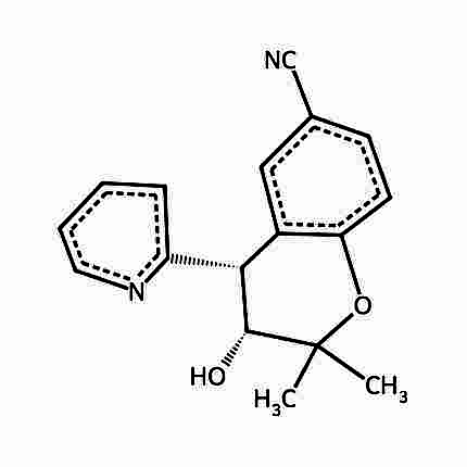 CC1(C)Oc2ccc(C#N)cc2[C@@H](c2ccccn2)[C@H]1O